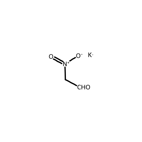 O=CC[N+](=O)[O-].[K]